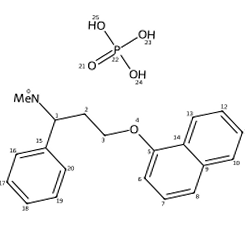 CNC(CCOc1cccc2ccccc12)c1ccccc1.O=P(O)(O)O